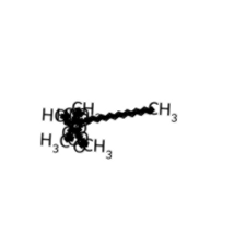 CCCCCCCCCCCCCCCCOC1OC(COC(C)=O)C(OC(C)=O)C(CC(=O)O)C1NC(C)=O